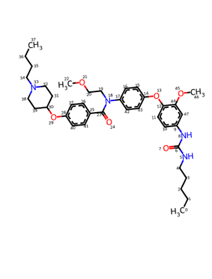 CCCCCNC(=O)Nc1ccc(Oc2ccc(N(CCOC)C(=O)c3ccc(OC4CCN(CCCC)CC4)cc3)cc2)c(OC)c1